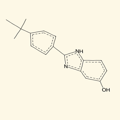 CC(C)(C)c1ccc(-c2nc3cc(O)ccc3[nH]2)cc1